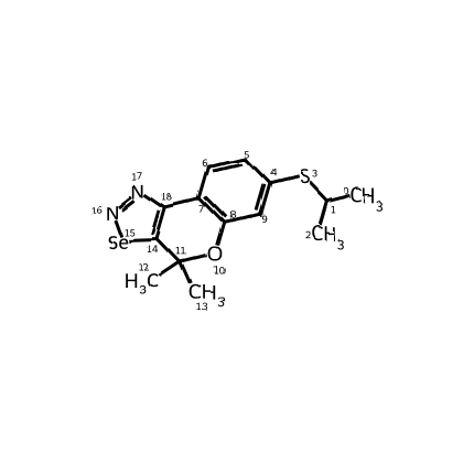 CC(C)Sc1ccc2c(c1)OC(C)(C)c1[se]nnc1-2